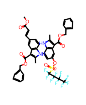 COC(=O)C=Cc1ccc2[nH]c(C)c(C(=O)OCc3ccccc3)c2c1.Cc1[nH]c2ccc(OS(=O)(=O)C(F)(F)C(F)(F)C(F)(F)C(F)(F)F)cc2c1C(=O)OCc1ccccc1